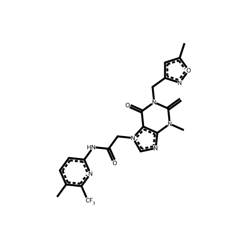 C=C1N(Cc2cc(C)on2)C(=O)c2c(ncn2CC(=O)Nc2ccc(C)c(C(F)(F)F)n2)N1C